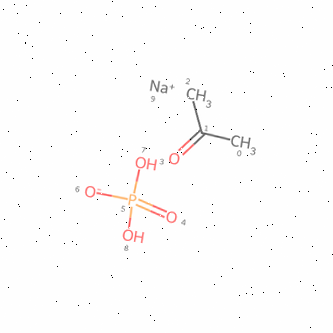 CC(C)=O.O=P([O-])(O)O.[Na+]